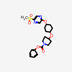 CS(=O)(=O)c1cnc(O[C@H]2CC[C@H](OC3CCN(C(=O)Oc4ccccc4)CC3)CC2)cn1